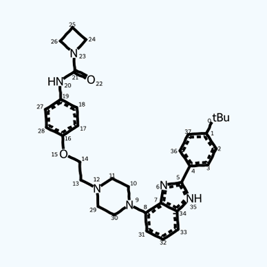 CC(C)(C)c1ccc(-c2nc3c(N4CCN(CCOc5ccc(NC(=O)N6CCC6)cc5)CC4)cccc3[nH]2)cc1